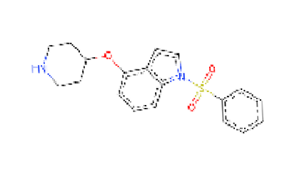 O=S(=O)(c1ccccc1)n1ccc2c(OC3CCNCC3)cccc21